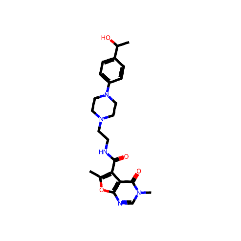 Cc1oc2ncn(C)c(=O)c2c1C(=O)NCCN1CCN(c2ccc(C(C)O)cc2)CC1